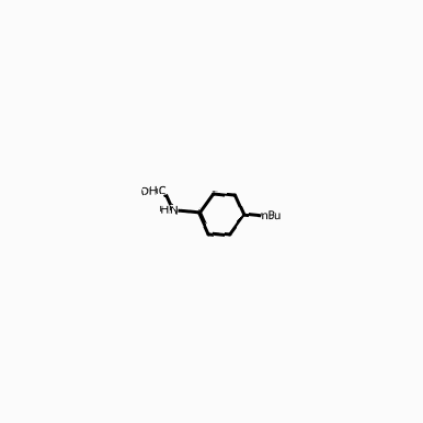 CCCCC1CCC(NC=O)CC1